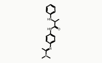 C/C(=N\c1ccc(NC(=O)C(C)Nc2ccccc2)cc1)N(C)C